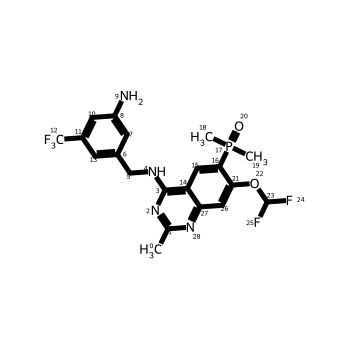 Cc1nc(NCc2cc(N)cc(C(F)(F)F)c2)c2cc(P(C)(C)=O)c(OC(F)F)cc2n1